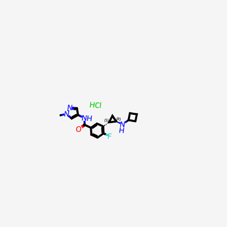 Cl.Cn1cc(NC(=O)c2ccc(F)c([C@@H]3C[C@H]3NC3CCC3)c2)cn1